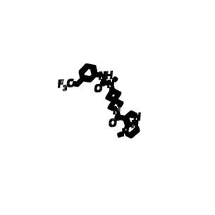 CN(C(=O)Nc1cccc(CC(F)(F)F)c1)C1CC2(C1)CN(C(=O)c1cnn3ccn(C)c13)C2